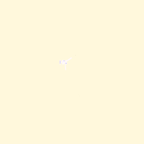 C=CC(=C)NC(C)(C)CC(=C)C